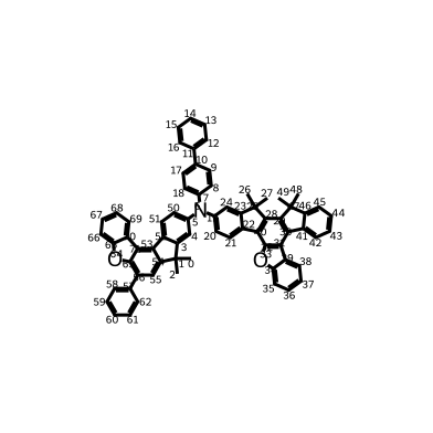 CC1(C)c2cc(N(c3ccc(-c4ccccc4)cc3)c3ccc4c(c3)C(C)(C)c3c5c(c6c(oc7ccccc76)c3-4)-c3ccccc3C5(C)C)ccc2-c2c1cc(-c1ccccc1)c1oc3ccccc3c21